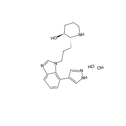 Cl.Cl.O[C@H]1CCCN[C@@H]1CCCn1cnc2cccc(-c3cn[nH]c3)c21